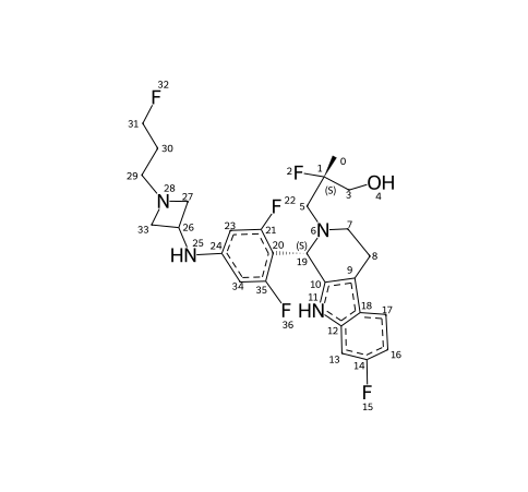 C[C@@](F)(CO)CN1CCc2c([nH]c3cc(F)ccc23)[C@@H]1c1c(F)cc(NC2CN(CCCF)C2)cc1F